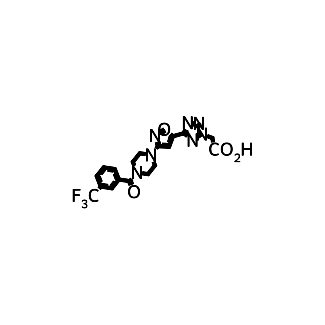 O=C(O)Cn1nnc(-c2cc(N3CCN(C(=O)c4cccc(C(F)(F)F)c4)CC3)no2)n1